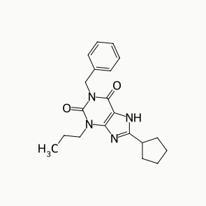 CCCn1c(=O)n(Cc2ccccc2)c(=O)c2[nH]c(C3CCCC3)nc21